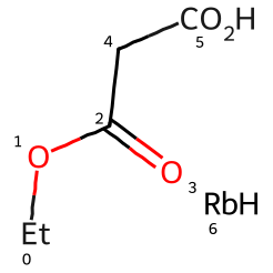 CCOC(=O)CC(=O)O.[RbH]